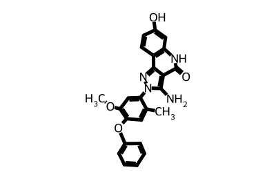 COc1cc(-n2nc3c(c2N)c(=O)[nH]c2cc(O)ccc23)c(C)cc1Oc1ccccc1